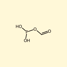 O=COP(O)O